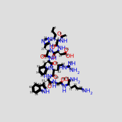 CCCC[C@H](NC(C)=O)C(=O)N[C@@H](CC(=O)O)C(=O)N[C@@H](Cc1c[nH]cn1)C(=O)N[C@H](Cc1ccccc1)C(=O)N[C@@H](CCCNC(=N)N)C(=O)N[C@@H](Cc1c[nH]c2ccccc12)C(=O)NCC(=O)N[C@@H](CCCCN)C(N)=O